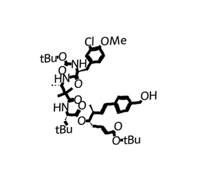 COc1ccc(C[C@H](NC(=O)OC(C)(C)C)C(=O)N[C@@H](C)C(C)(C)C(=O)N[C@@H](CC(C)(C)C)C(=O)O[C@@H](C/C=C/C(=O)OC(C)(C)C)[C@@H](C)/C=C/c2ccc(CO)cc2)cc1Cl